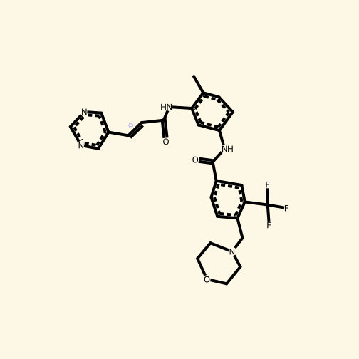 Cc1ccc(NC(=O)c2ccc(CN3CCOCC3)c(C(F)(F)F)c2)cc1NC(=O)/C=C/c1cncnc1